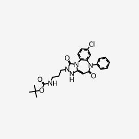 CC(C)(C)OC(=O)NCCCN1NC2=CC(=O)N(c3ccccc3)c3cc(Cl)ccc3N2C1=O